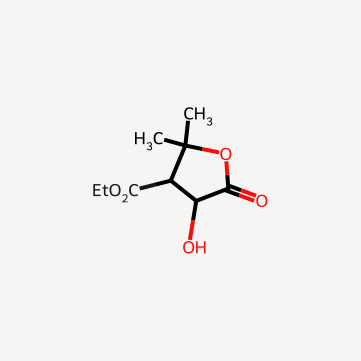 CCOC(=O)C1C(O)C(=O)OC1(C)C